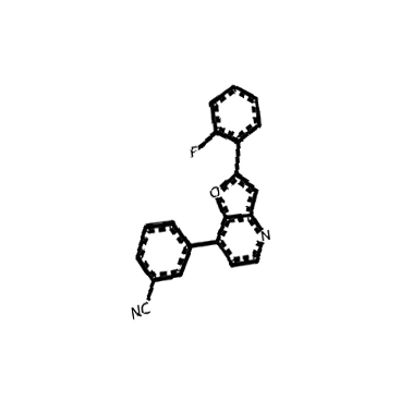 N#Cc1cccc(-c2ccnc3cc(-c4ccccc4F)oc23)c1